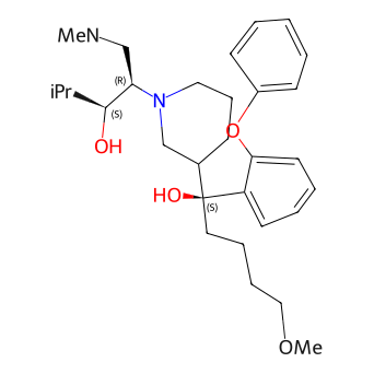 CNC[C@H]([C@@H](O)C(C)C)N1CCCC([C@@](O)(CCCCOC)c2ccccc2Oc2ccccc2)C1